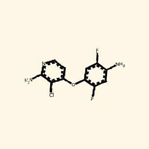 Nc1cc(F)c(Oc2ccnc(N)c2Cl)cc1F